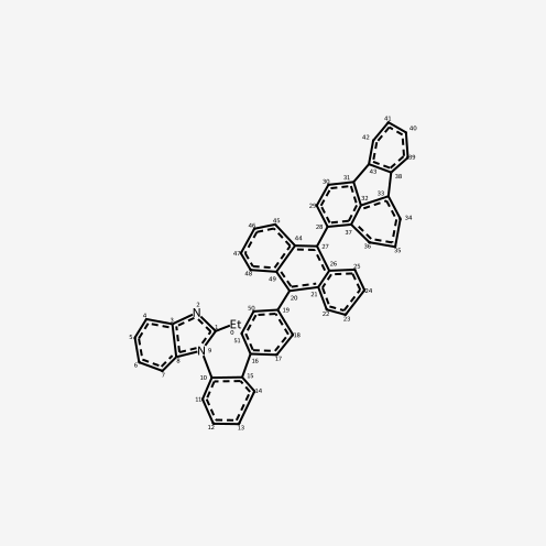 CCc1nc2ccccc2n1-c1ccccc1-c1ccc(-c2c3ccccc3c(-c3ccc4c5c(cccc35)-c3ccccc3-4)c3ccccc23)cc1